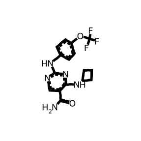 NC(=O)c1cnc(Nc2ccc(OC(F)(F)F)cc2)nc1NC1CCC1